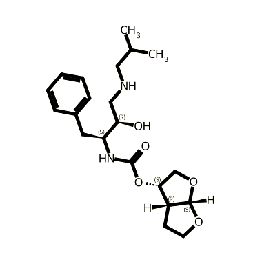 CC(C)CNC[C@@H](O)[C@H](Cc1ccccc1)NC(=O)O[C@@H]1CO[C@@H]2OCC[C@@H]21